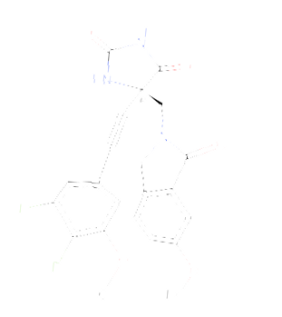 COc1ccc2c(c1)C(=O)N(C[C@@]1(C#Cc3cc(F)c(F)c(OC)c3)NC(=O)NC1=O)C2